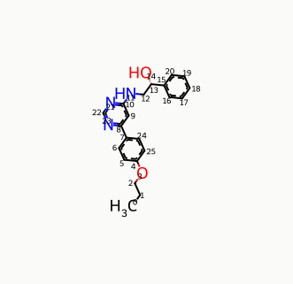 CCCOc1ccc(-c2cc(NC[C@H](O)c3ccccc3)ncn2)cc1